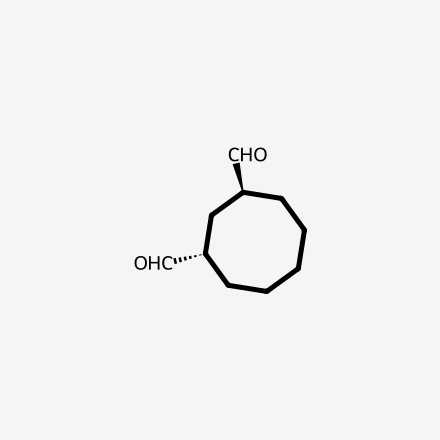 O=C[C@H]1CCCCC[C@H](C=O)C1